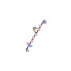 CC(C)/C=C/CNC(=O)CCOCCOCCOC(CCOCCOCCNC(C)C)CSSC(C)(C)C